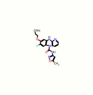 COCCOc1cc(Nc2ccccn2)c(NC(=O)Nc2cc(C)on2)cc1F